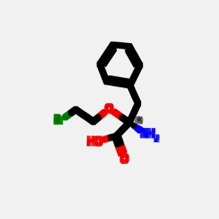 N[C@](Cc1ccccc1)(OCCBr)C(=O)O